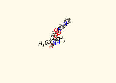 CCc1cc(-c2ccc(S(=O)(=O)N3CCC(N4CCCCC4)CC3)o2)c(C)[nH]c1=O